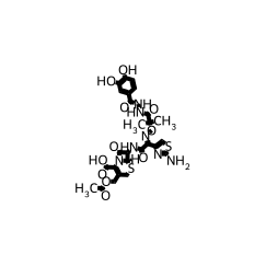 CC(=O)OCC1=C(C(=O)O)N2C(=O)C(NC(=O)C(=NOC(C)(C)C(=O)NNC(=O)c3ccc(O)c(O)c3)c3csc(N)n3)[C@@H]2SC1